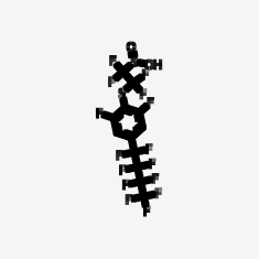 O=S(O)C(F)(F)C(F)(F)Sc1c(F)cc(C(F)(F)C(F)(F)C(F)(F)C(F)(F)F)cc1F